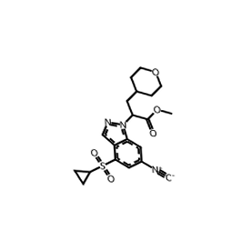 [C-]#[N+]c1cc(S(=O)(=O)C2CC2)c2cnn(C(CC3CCOCC3)C(=O)OC)c2c1